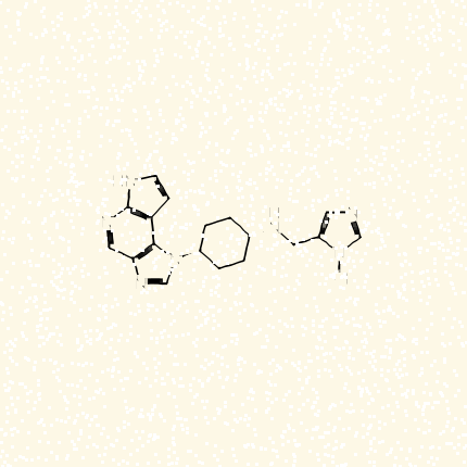 Cn1cncc1CN[C@H]1CC[C@H](n2cnc3cnc4[nH]ccc4c32)CC1